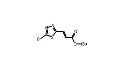 CC(C)(C)OC(=O)/C=C/c1nnc(Br)s1